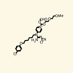 COCCOCCOC(OC=O)[n+]1ccc(N(CCCCCCOc2ccc(Cl)cc2)C(N)=NC#N)cc1.[Cl-]